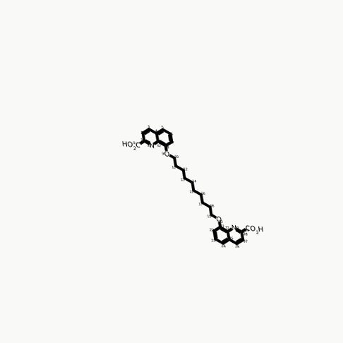 O=C(O)c1ccc2cccc(OCCCCCCCCCCOc3cccc4ccc(C(=O)O)nc34)c2n1